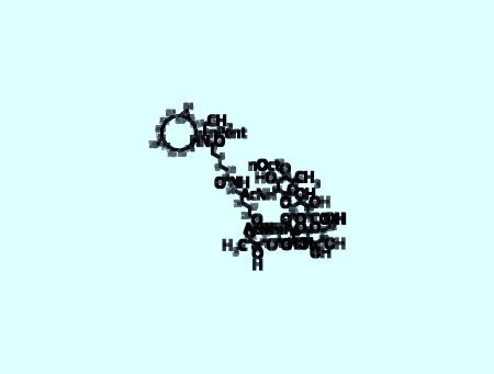 C=CC(CCCCC)(NC(=O)CCCCC(=O)NCCCCCO[C@@H]1OC(C)[C@@H](O)C(O[C@@H]2OC(C)[C@@H](O[C@@H]3OC(CO)[C@@H](O)C(O)C3O)C(O[C@@H]3OC(C(=O)O)[C@@H](O)C(O)C3O[C@@H]3OC(C)[C@@H](OCCCCCCCC)C(O)C3NC(C)=O)C2NC(C)=O)C1NC(C)=O)C1CCCCC2CC2CCCC2CC2C1